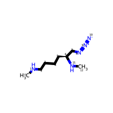 CNCCCC[C@@H](CN=[N+]=[N-])NC